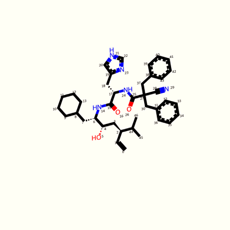 C=C[C@@H](C[C@H](O)[C@H](CC1CCCCC1)NC(=O)[C@H](Cc1c[nH]cn1)NC(=O)C(C#N)(Cc1ccccc1)Cc1ccccc1)C(C)C